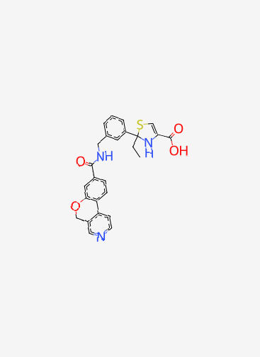 CCC1(c2cccc(CNC(=O)c3ccc4c(c3)OCc3cnccc3-4)c2)NC(C(=O)O)=CS1